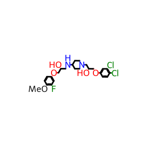 COc1ccc(OC[C@@H](O)CNC2CCN(C[C@@H](O)COc3ccc(Cl)c(Cl)c3)CC2)cc1F